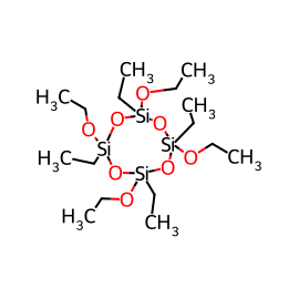 CCO[Si]1(CC)O[Si](CC)(OCC)O[Si](CC)(OCC)O[Si](CC)(OCC)O1